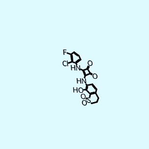 O=c1c(Nc2ccc3c(c2O)S(=O)(=O)CCC3)c(Nc2cccc(F)c2Cl)c1=O